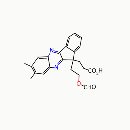 Cc1cc2nc3c(nc2cc1C)C(CCOC=O)(CCC(=O)O)c1ccccc1-3